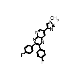 Cn1cc(-c2cnc3nc(-c4ccc(F)cc4)c(-c4ccc(F)cc4)nc3c2)nn1